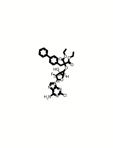 CCOC(=O)C(Cc1ccc(-c2ccccc2)cc1)(OC1[C@H]2O[C@@H](n3cnc4c(N)nc(Cl)nc43)[C@@H](F)[C@@]12O)C(=O)OCC